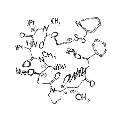 CC[C@H](C)[C@@H]([C@@H](CC(=O)N1CCC[C@H]1[C@H](OC)[C@@H](C)C(=O)NCC(=O)c1ccccc1)OC)N(C)C(=O)C(NC(=O)[C@H](C(C)C)N(C)C(=O)OC[C@H](SSc1ccccn1)C(C)C)C(C)C